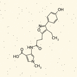 CCc1c(-c2ccc(O)cc2)noc1CCC(=O)Nc1cn(C)cc1C(=O)O